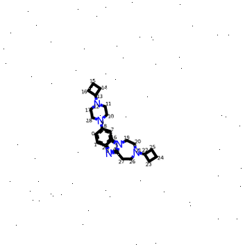 c1cc2nc3n(c2cc1N1CCN(C2CCC2)CC1)CCN(C1CCC1)CC3